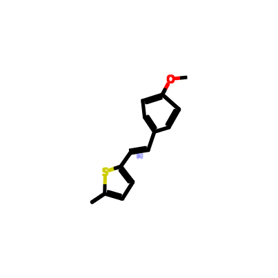 COc1ccc(/C=C/c2ccc(C)s2)cc1